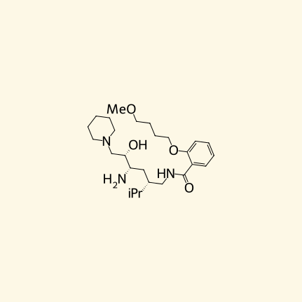 COCCCCOc1ccccc1C(=O)NC[C@@H](C[C@H](N)[C@@H](O)CN1CCCCC1)C(C)C